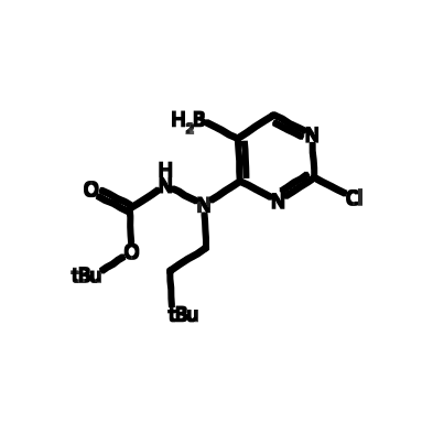 Bc1cnc(Cl)nc1N(CCC(C)(C)C)NC(=O)OC(C)(C)C